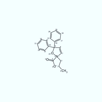 CCC[N+]1(C(=O)[O-])C=CC(c2ccccc2)(c2ccccc2)O1